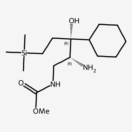 COC(=O)NC[C@@H](N)[C@@](O)(CC[Si](C)(C)C)C1CCCCC1